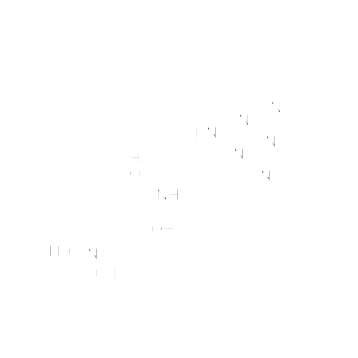 CN(C)c1ccc(C(=O)Nc2ccc(Nc3nc(N4CCCCC4)nc(N4CCCCC4)n3)cc2O)c(O)c1